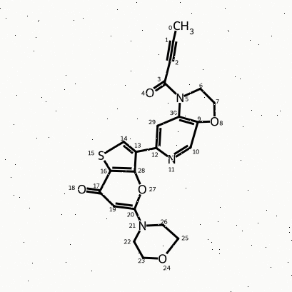 CC#CC(=O)N1CCOc2cnc(-c3csc4c(=O)cc(N5CCOCC5)oc34)cc21